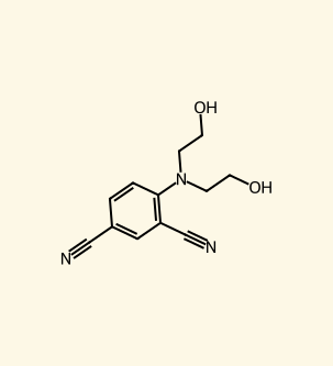 N#Cc1ccc(N(CCO)CCO)c(C#N)c1